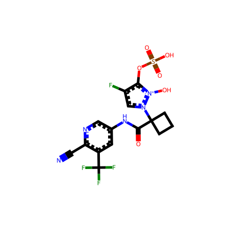 N#Cc1ncc(NC(=O)C2(n3cc(F)c(OS(=O)(=O)O)[n+]3O)CCC2)cc1C(F)(F)F